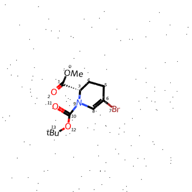 COC(=O)[C@@H]1CCC(Br)=CN1C(=O)OC(C)(C)C